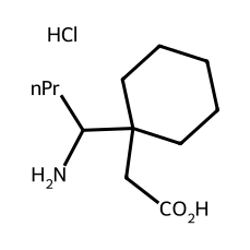 CCCC(N)C1(CC(=O)O)CCCCC1.Cl